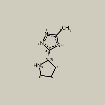 Cc1nnc([C@@H]2CCCN2)s1